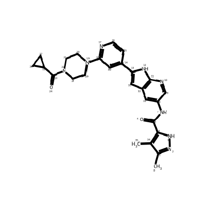 Cc1n[nH]c(C(=O)Nc2cnc3[nH]c(-c4ccnc(N5CCN(C(=O)C6CC6)CC5)c4)cc3c2)c1C